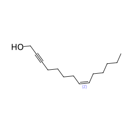 CCCCC/C=C\CCCCC#CCO